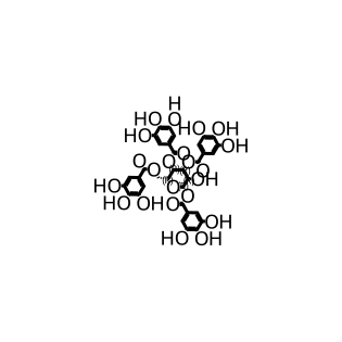 O=C(OC[C@H]1O[C@H](OC(=O)c2cc(O)c(O)c(O)c2)[C@H](O)[C@@H](OC(=O)c2cc(O)c(O)c(O)c2)[C@@H]1OC(=O)c1cc(O)c(O)c(O)c1)c1cc(O)c(O)c(O)c1